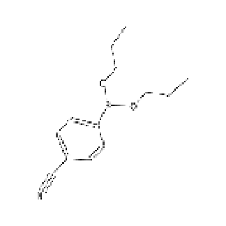 CCCOB(OCCC)c1ccc(C#N)cc1